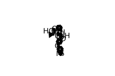 O=C(N[C@@H](CC1CC1)B(O)O)[C@H](Cc1ccccc1)NS(=O)(=O)c1ccc(Oc2ccc3scnc3c2)cc1